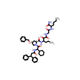 CCCCC(NC(=O)CNC(=O)C(=O)C(CCC)NC(=O)[C@@H]1C[C@@H](OCc2ccccc2)CN1C(=O)C(NC(=O)CC(c1ccccc1)c1ccccc1)C1CCCCC1)C(N)=O